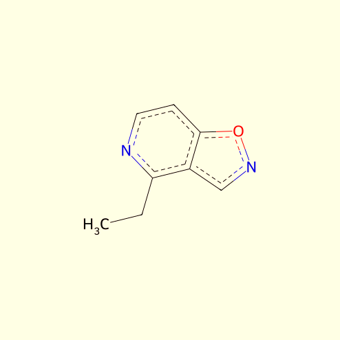 CCc1nccc2oncc12